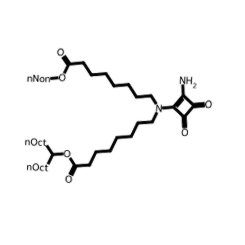 CCCCCCCCCOC(=O)CCCCCCCN(CCCCCCCC(=O)OC(CCCCCCCC)CCCCCCCC)c1c(N)c(=O)c1=O